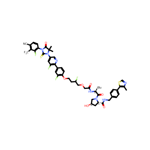 Cc1ncsc1-c1ccc(CNC(=O)[C@@H]2C[C@@H](O)CN2C(=O)[C@@H](NC(=O)COCC(F)CCOc2ccc(-c3ncc(N4C(=S)N(c5ccc(C#N)c(C(F)(F)F)c5F)C(=O)C4(C)C)cc3F)cc2F)C(C)(C)C)cc1